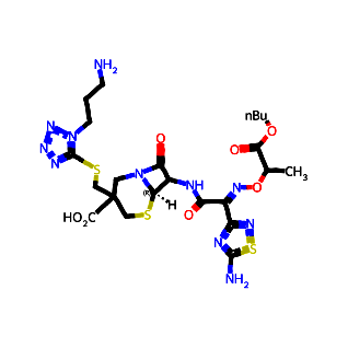 CCCCOC(=O)C(C)ON=C(C(=O)NC1C(=O)N2CC(CSc3nnnn3CCCN)(C(=O)O)CS[C@H]12)c1nsc(N)n1